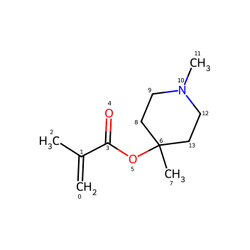 C=C(C)C(=O)OC1(C)CCN(C)CC1